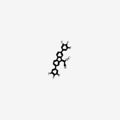 [C-]#[N+]C(C#N)=C1c2cc(-c3cc(F)c(F)c(F)c3)ccc2-c2ccc(-c3cc(F)c(F)c(F)c3)cc21